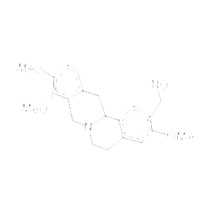 COc1cc2c(cc1CN=O)C1Cc3ccc(OC)c(OC)c3CN1CC2